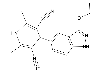 [C-]#[N+]C1=C(C)NC(C)=C(C#N)C1c1ccc2[nH]nc(OCC)c2c1